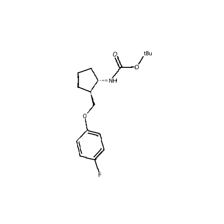 CC(C)(C)OC(=O)N[C@H]1CCC[C@@H]1COc1ccc(F)cc1